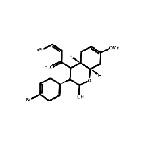 C=C(/C=C\CCC)C1C([C@@H]2CC=C(Br)CC2)C(O)O[C@H]2CC(OC)=CC[C@@H]12